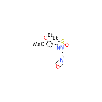 CCOc1cc(C2=NN(CCCN3CCOCC3)C(=O)SC2CC)ccc1OC